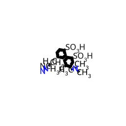 CC#N.CN(C)C.Cc1ccc(S(=O)(=O)O)cc1.Cc1ccc(S(=O)(=O)O)cc1.N#N